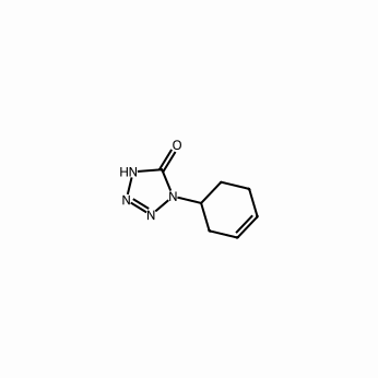 O=c1[nH]nnn1C1CC=CCC1